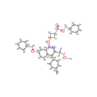 COCC(C)(C)c1nc(OC2CC(C(=O)OCc3ccccc3)C2)c2cc(OCc3ccccc3)ccc2c1-c1ccc(F)cc1